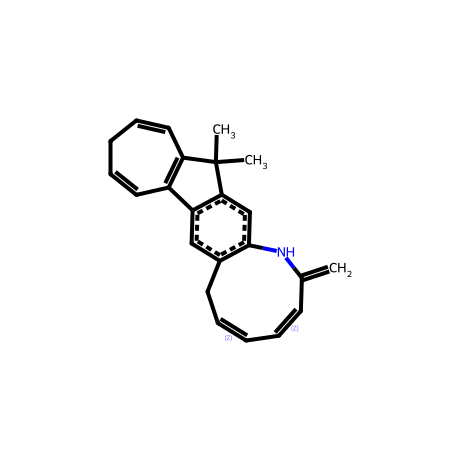 C=C1/C=C\C=C/Cc2cc3c(cc2N1)C(C)(C)C1=C3C=CCC=C1